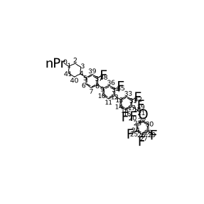 CCCC1CCC(c2ccc(-c3ccc(-c4cc(F)c(C(F)(F)Oc5cc(F)c(F)c(F)c5)c(F)c4)c(F)c3)c(F)c2)CC1